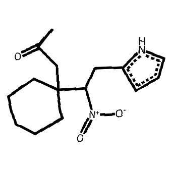 CC(=O)CC1(C(Cc2ccc[nH]2)[N+](=O)[O-])CCCCC1